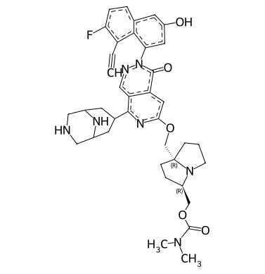 C#Cc1c(F)ccc2cc(O)cc(-n3ncc4c(C5CC6CNCC(C5)N6)nc(OC[C@]56CCCN5[C@@H](COC(=O)N(C)C)CC6)cc4c3=O)c12